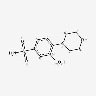 NS(=O)(=O)c1ccc(N2CCOCC2)c(C(=O)O)c1